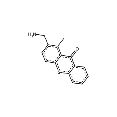 Cc1c(CN)ccc2sc3ccccc3c(=O)c12